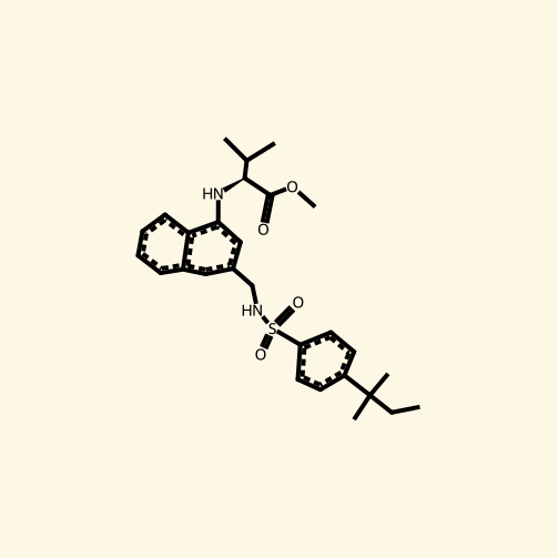 CCC(C)(C)c1ccc(S(=O)(=O)NCc2cc(N[C@H](C(=O)OC)C(C)C)c3ccccc3c2)cc1